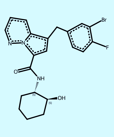 O=C(N[C@H]1CCCC[C@@H]1O)c1cc(Cc2ccc(F)c(Br)c2)c2cccnn12